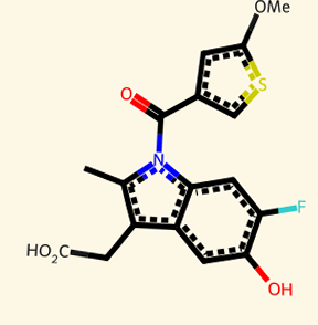 COc1cc(C(=O)n2c(C)c(CC(=O)O)c3cc(O)c(F)cc32)cs1